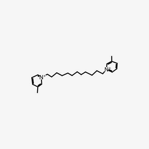 Cc1ccc[n+](CCCCCCCCCCCC[n+]2cccc(C)c2)c1